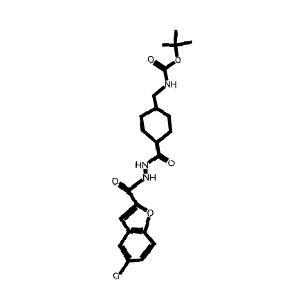 CC(C)(C)OC(=O)NCC1CCC(C(=O)NNC(=O)c2cc3cc(Cl)ccc3o2)CC1